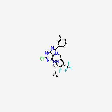 Cc1cccc(-c2nc3nc(Cl)nc(NCCC4CC4)c3n2Cc2ccc(F)c(C(F)(F)F)c2)c1